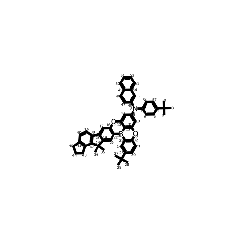 CC(C)(C)c1ccc(N(c2cc3c4c(c2)Oc2cc5c(cc2B4c2cc(C(C)(C)C)ccc2O3)C(C)(C)c2c-5ccc3c2CCC3)c2ccc3ccccc3c2)cc1